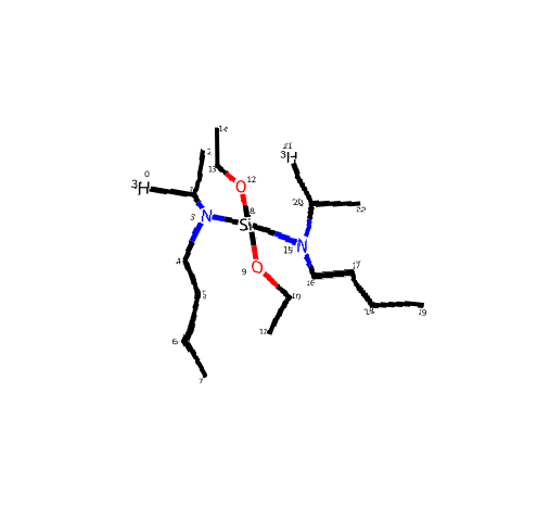 [3H]C(C)N(CCCC)[Si](OCC)(OCC)N(CCCC)C([3H])C